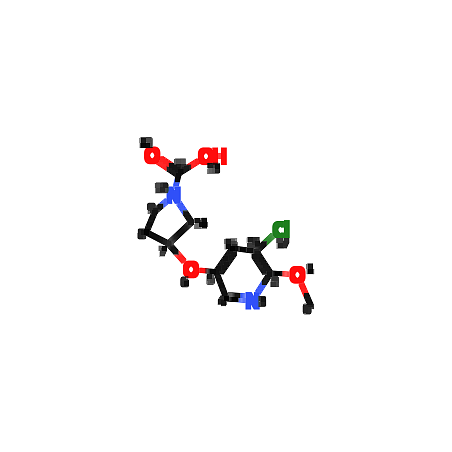 COc1ncc(OC2CCN(C(=O)O)C2)cc1Cl